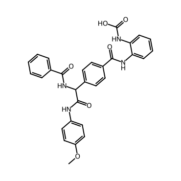 COc1ccc(NC(=O)C(NC(=O)c2ccccc2)c2ccc(C(=O)Nc3ccccc3NC(=O)O)cc2)cc1